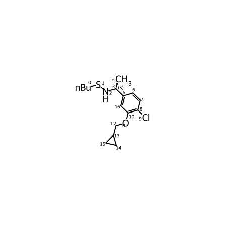 CCCCSN[C@@H](C)c1ccc(Cl)c(OCC2CC2)c1